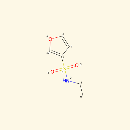 CCNS(=O)(=O)c1ccoc1